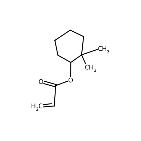 C=CC(=O)OC1CCCCC1(C)C